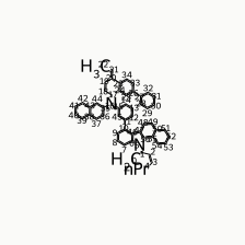 C=C(/C=C\CCC)n1c2cccc(-c3cccc(N(C/C=C\C(=C/C)c4ccc(-c5ccccc5)cc4)c4ccc5ccccc5c4)c3)c2c2ccc3ccccc3c21